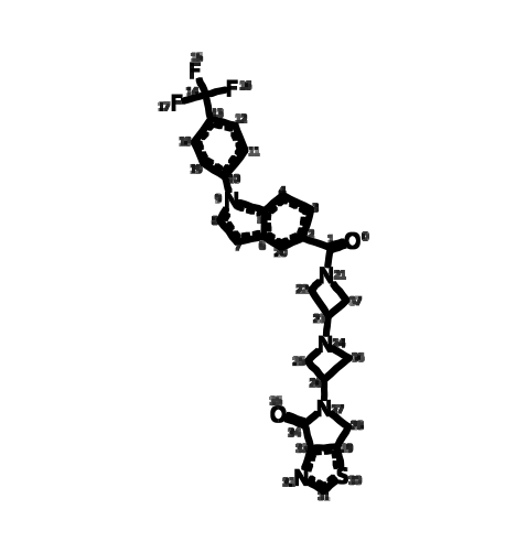 O=C(c1ccc2c(ccn2-c2ccc(C(F)(F)F)cc2)c1)N1CC(N2CC(N3Cc4scnc4C3=O)C2)C1